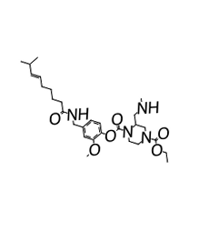 CCOC(=O)N1CCN(C(=O)Oc2ccc(CNC(=O)CCCCC=CC(C)C)cc2OC)C(CNC)C1